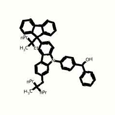 CCCC(C)(CCC)Cc1ccc2c3cc(C4(C(C)(CC)CCC)c5ccccc5-c5ccccc54)ccc3n(-c3ccc(C(O)c4ccccc4)cc3)c2c1